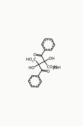 O=C(O)C(O)(C(=O)c1ccccc1)C(O)(C(=O)O)C(=O)c1ccccc1.[NaH]